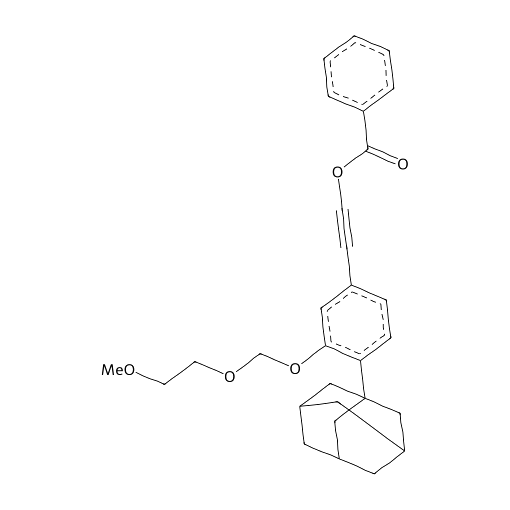 COCCOCOc1cc(C#COC(=O)c2ccccc2)ccc1C12CC3CC(CC(C3)C1)C2